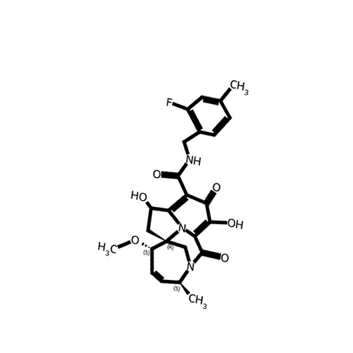 CO[C@H]1C=C[C@H](C)N2C[C@]13CC(O)c1c(C(=O)NCc4ccc(C)cc4F)c(=O)c(O)c(n13)C2=O